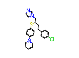 Clc1ccc(CCC(Cn2ccnc2)Sc2ccc(N3C=CC=CC3)cc2)cc1